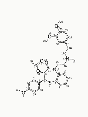 COc1ccc([C@@H]2Sc3ccccc3N(CCN(C)CCc3ccc(OC)c(OC)c3)C(=O)[C@@H]2OC(C)=O)cc1